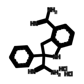 Cl.Cl.N=C(N)c1cccc2c1CC(C(=N)N)(c1ccccc1)N2